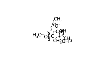 CCC(CC)(CO)CO.CCOP(=S)(OCC)SCC[S+]([O-])CC